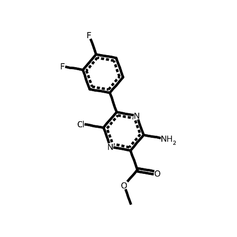 COC(=O)c1nc(Cl)c(-c2ccc(F)c(F)c2)nc1N